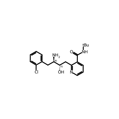 CC(C)(C)NC(=O)c1cccnc1C[C@H](O)[C@H](N)Cc1ccccc1Cl